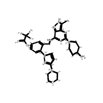 CC(C)c1[nH]nc2c(NCc3ccccc3-n3ccc(N4CCOCC4)n3)nc(N3CCC(N)CC3)nc12.O=C(O)C(F)(F)F